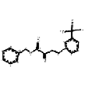 O=C(CCc1cccc(C(F)(F)F)c1)C(=O)OCc1ccccc1